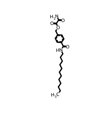 CCCCCCCCCCCCNC(=O)c1ccc(COC(=O)C(N)=O)cc1